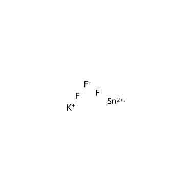 [F-].[F-].[F-].[K+].[Sn+2]